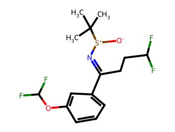 CC(C)(C)[S+]([O-])N=C(CCC(F)F)c1cccc(OC(F)F)c1